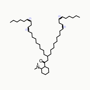 CCCCC/C=C\C/C=C\CCCCCCCCC(CCCCCCCC/C=C\C/C=C\CCCCC)CC(=O)C1CCCCC1N(C)C